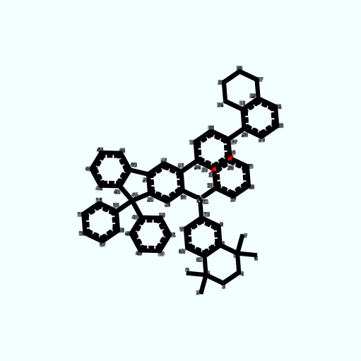 CC1(C)CCC(C)(C)c2cc(N(c3ccccc3)c3cc4c(cc3-c3ccc(-c5cccc6c5CCCC6)cc3)-c3ccccc3C4(c3ccccc3)c3ccccc3)ccc21